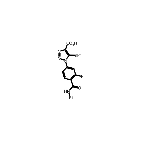 CCCc1c(C(=O)O)nnn1-c1ccc(C(=O)NCC)c(F)c1